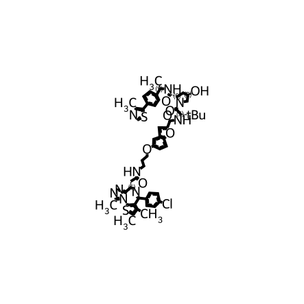 Cc1ncsc1-c1ccc([C@H](C)NC(=O)[C@@H]2C[C@@H](O)CN2C(=O)[C@@H](NC(=O)c2cc3cc(OCCCNC(=O)C[C@@H]4N=C(c5ccc(Cl)cc5)c5c(sc(C)c5C)-n5c(C)nnc54)ccc3o2)C(C)(C)C)cc1